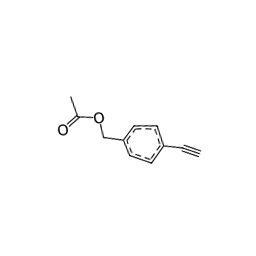 C#Cc1ccc(COC(C)=O)cc1